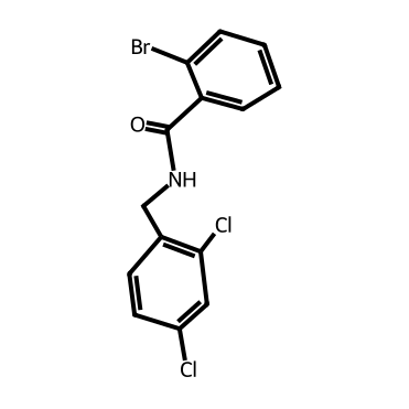 O=C(NCc1ccc(Cl)cc1Cl)c1ccccc1Br